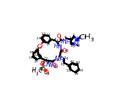 Cn1cc(CNC(=O)[C@@H]2Cc3cccc(c3)Oc3cccc(c3)C[C@H](NS(C)(=O)=O)C(=O)N[C@@H](CCc3ccccc3)C(=O)N2)cn1